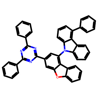 c1ccc(-c2nc(-c3ccccc3)nc(-c3cc(-n4c5ccccc5c5c(-c6ccccc6)cccc54)c4c(c3)oc3ccccc34)n2)cc1